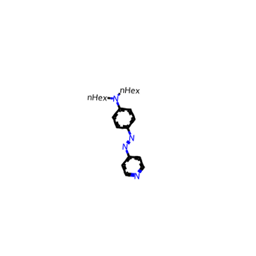 CCCCCCN(CCCCCC)c1ccc(/N=N/c2ccncc2)cc1